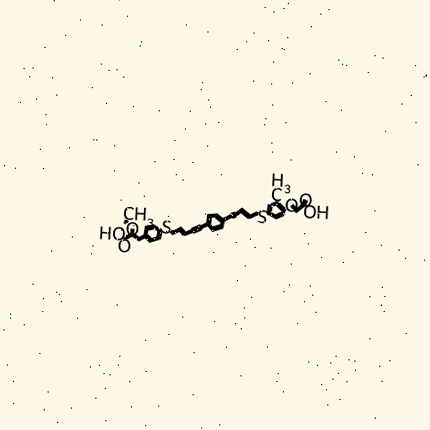 CCOC(Cc1ccc(SCC=CC#Cc2ccc(C#CC=CCSc3ccc(OCC(=O)O)c(C)c3)cc2)cc1)C(=O)O